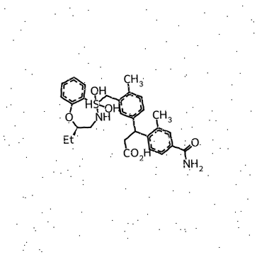 CC[C@@H]1CN[SH](O)(O)(Cc2cc(C(CC(=O)O)c3ccc(C(N)=O)cc3C)ccc2C)c2ccccc2O1